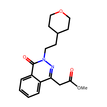 COC(=O)Cc1nn(CCC2CCOCC2)c(=O)c2ccccc12